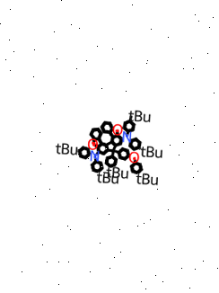 CC(C)(C)c1ccc(Oc2ccc(C3(c4ccc(C(C)(C)C)cc4)c4cc(N(c5ccc(C(C)(C)C)cc5)c5ccc(C(C)(C)C)cc5)c5oc6ccccc6c5c4-c4c3cc(N(c3ccc(C(C)(C)C)cc3)c3ccc(C(C)(C)C)cc3)c3oc5ccccc5c43)cc2)cc1